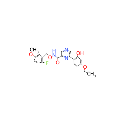 CCOc1ccc(-c2cncc(C(=O)NOCc3cc(OC)ccc3F)n2)c(O)c1